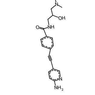 CN(C)CC(O)CNC(=O)c1ccc(C#Cc2ccc(N)nc2)cc1